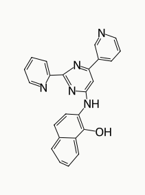 Oc1c(Nc2cc(-c3cccnc3)nc(-c3ccccn3)n2)ccc2ccccc12